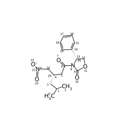 CC(C)C[C@@H](CC(=O)N1C(=O)OC[C@H]1c1ccccc1)C[N+](=O)[O-]